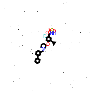 CS(=O)(=O)NC(=O)c1cc(C2CC2)c(OC2CCCN(Cc3cccc(-c4ccccc4)c3)C2)cc1F